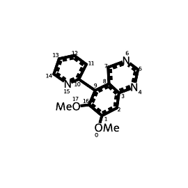 COc1cc2ncncc2c(-c2ccccn2)c1OC